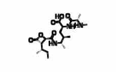 CC[C@H](C)[C@@H]1C(=O)O[C@H]1C(=O)N[C@@H](C)[C@H](C)C[C@H](NC(=O)[C@H](C)NC)C(=O)O